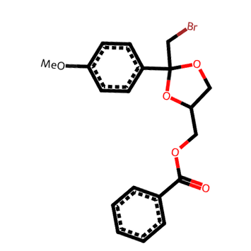 COc1ccc(C2(CBr)OCC(COC(=O)c3ccccc3)O2)cc1